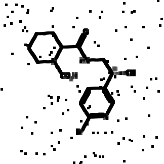 N#C[C@@H](CNC(=O)C1CCCCN1C(=O)O)c1ccc(Br)nc1